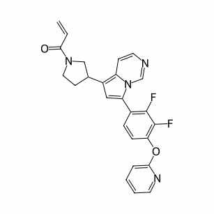 C=CC(=O)N1CCC(c2cc(-c3ccc(Oc4ccccn4)c(F)c3F)n3cnccc23)C1